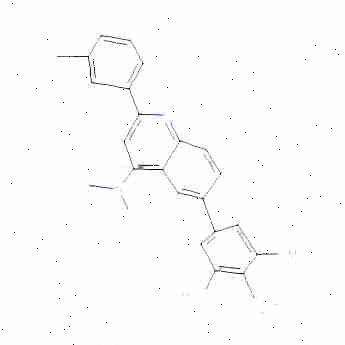 COc1cc(-c2ccc3nc(-c4cccc(F)c4)cc(N(C)C)c3c2)cc(OC)c1OC